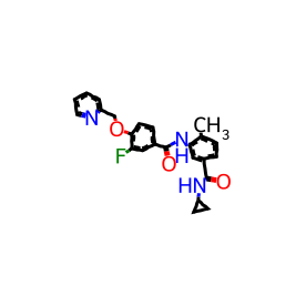 Cc1ccc(C(=O)NC2CC2)cc1NC(=O)c1ccc(OCc2ccccn2)c(F)c1